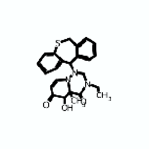 CCN1CN(C2c3ccccc3CSc3ccccc32)N2C=CC(=O)C(O)C2(C)C1=O